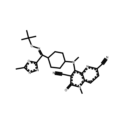 Cc1nnc(/C(=N\OC(C)(C)C)C2CCC(N(C)c3c(C#N)c(=O)n(C)c4ccc(C#N)nc34)CC2)o1